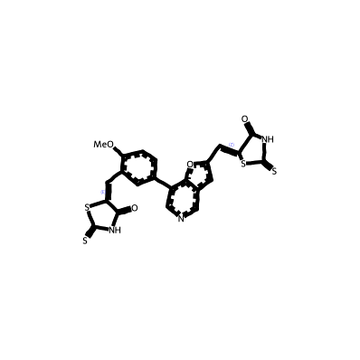 COc1ccc(-c2cncc3cc(/C=C4\SC(=S)NC4=O)oc23)cc1/C=C1/SC(=S)NC1=O